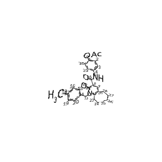 CC(=O)Oc1ccc(NC(=O)c2cc3c(n(Cc4ccc(C)cc4)c2=O)CCCCCC3)cc1